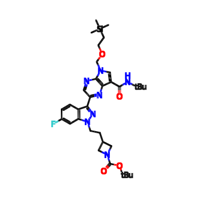 CC(C)(C)NC(=O)c1cn(COCC[Si](C)(C)C)c2ncc(-c3nn(CCC4CN(C(=O)OC(C)(C)C)C4)c4cc(F)ccc34)nc12